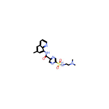 Cc1cc(NC(=O)c2cnc(S(=O)(=O)NCCN(C)C)cn2)c2ncccc2c1